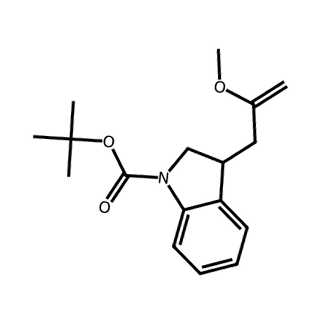 C=C(CC1CN(C(=O)OC(C)(C)C)c2ccccc21)OC